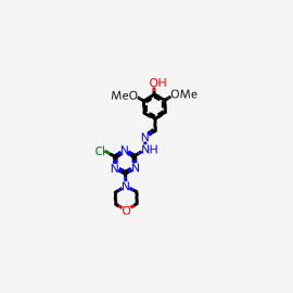 COc1cc(/C=N/Nc2nc(Cl)nc(N3CCOCC3)n2)cc(OC)c1O